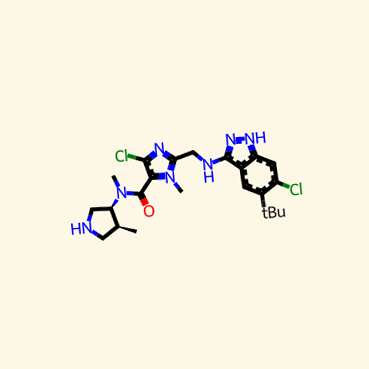 C[C@H]1CNC[C@H]1N(C)C(=O)c1c(Cl)nc(CNc2n[nH]c3cc(Cl)c(C(C)(C)C)cc23)n1C